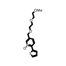 COCCOCCOCc1ccc(-c2cccs2)[n+]([O-])c1